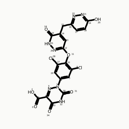 O=C(O)c1nn(-c2cc(Cl)c(Oc3cc(Cc4ccc(O)nn4)c(=O)[nH]n3)c(Cl)c2)c(=O)[nH]c1=O